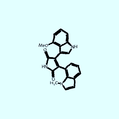 COc1cccc2[nH]cc(C3=C(c4cccc5ccn(C)c45)C(=O)NC3=O)c12